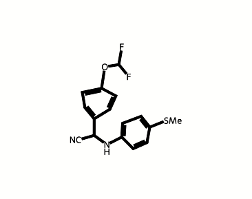 CSc1ccc(NC(C#N)c2ccc(OC(F)F)cc2)cc1